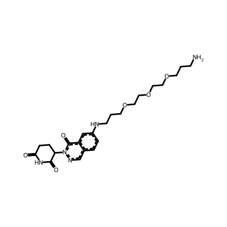 NCCCOCCOCCOCCCNc1ccc2cnn(C3CCC(=O)NC3=O)c(=O)c2c1